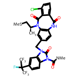 CNC(=O)n1c(=O)n(Cc2ccc3c(c2)N([C@@H](C)CSC)C(=O)c2c(Cl)cccc2C(=O)N3)c2cc(C(F)(C(F)(F)F)C(F)(F)F)ccc21